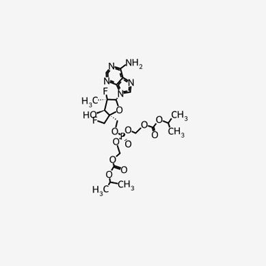 CC(C)OC(=O)OCOP(=O)(OCOC(=O)OC(C)C)OC[C@@]1(CF)O[C@@H](n2cnc3c(N)ncnc32)[C@](C)(F)[C@@H]1O